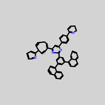 C1=C=C(c2cc(C3=C/CC#CC(c4ccccn4)/C=C\3)nc(-c3cc(-c4cc#cc5ccccc45)cc(-c4cccc5ccccc45)c3)n2)C=CC=1C1=NCCC=C1